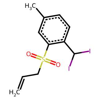 C=CCS(=O)(=O)c1cc(C)ccc1C(I)I